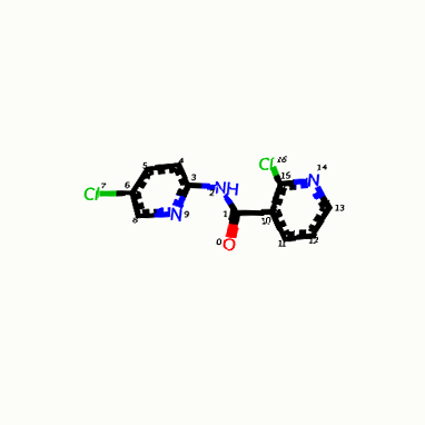 O=C(Nc1ccc(Cl)cn1)c1cccnc1Cl